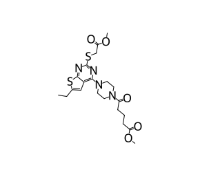 CCc1cc2c(N3CCN(C(=O)CCCC(=O)OC)CC3)nc(SCC(=O)OC)nc2s1